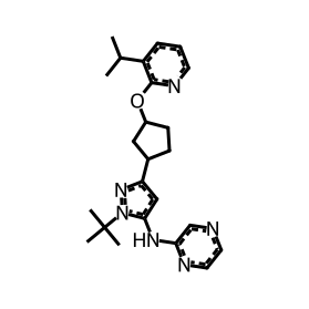 CC(C)c1cccnc1OC1CCC(c2cc(Nc3cnccn3)n(C(C)(C)C)n2)C1